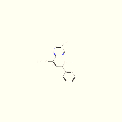 CCCCCCC(/C=C(/C(=O)O)c1ncc(CCCCC)cn1)c1ccccc1